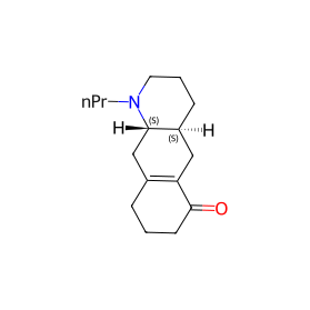 CCCN1CCC[C@H]2CC3=C(CCCC3=O)C[C@@H]21